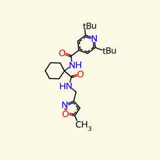 Cc1cc(CNC(=O)C2(NC(=O)c3cc(C(C)(C)C)nc(C(C)(C)C)c3)CCCCC2)no1